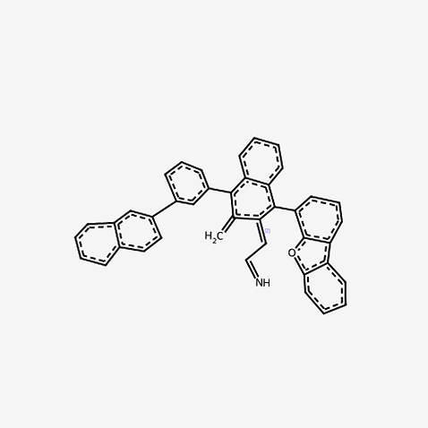 C=c1c(-c2cccc(-c3ccc4ccccc4c3)c2)c2ccccc2c(-c2cccc3c2oc2ccccc23)/c1=C/C=N